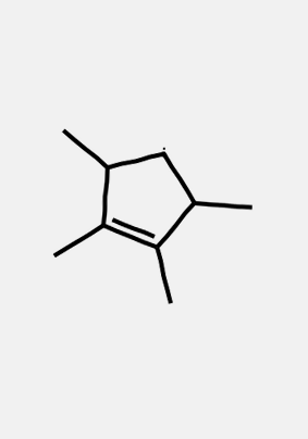 CC1=C(C)C(C)[CH]C1C